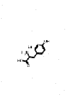 NC(Cc1ccc(O)cc1)C(=O)O.[La]